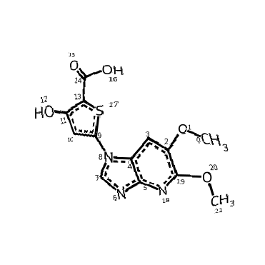 COc1cc2c(ncn2-c2cc(O)c(C(=O)O)s2)nc1OC